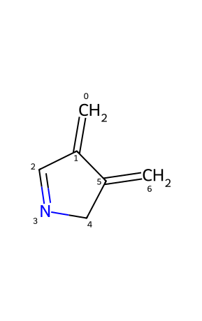 C=C1C=NCC1=C